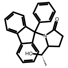 C[C@H](O)C1CCC(=O)N1C1(c2ccccc2)c2ccccc2-c2ccccc21